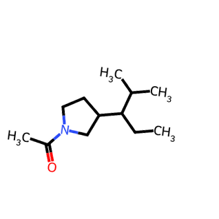 CCC(C(C)C)C1CCN(C(C)=O)C1